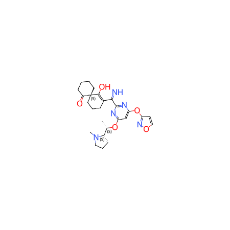 C[C@H](Oc1cc(Oc2ccon2)nc(C(=N)C2=C(O)[C@]3(CCCCC3=O)CCC2)n1)[C@@H]1CCCN1C